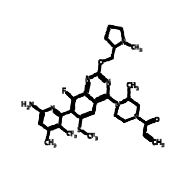 C=CC(=O)N1CCN(c2nc(OCC3CCCN3C)nc3c(F)c(-c4nc(N)cc(C)c4C(F)(F)F)c(SC(F)(F)F)cc23)C(C)C1